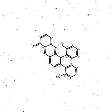 O=C1C=CC=c2cc3c(cc21)=CC=C(c1ccccc1O)C3c1ccccc1O